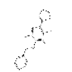 Cc1nc(N2CCCC2)c(C)c(C)c1OCc1ccccc1